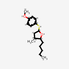 CCCCCC1OC(Sc2ccc(OC)cc2)C[C@H]1C